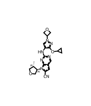 C[C@H]1COC[C@@H]1n1c(C#N)cc2cnc(Nc3cn(C4COC4)nc3OC3CC3)nc21